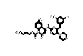 CC[C@@H]1C[C@H](Nc2ncc(N3CCOCC3)c(Cc3cc(C#N)cc(C(F)(F)F)c3)n2)c2cc(C(F)(F)F)ccc2N1C(=O)OCCCC(=O)O